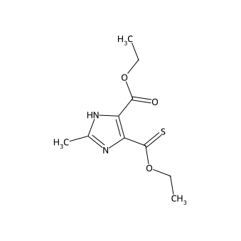 CCOC(=O)c1[nH]c(C)nc1C(=S)OCC